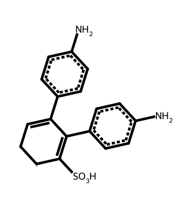 Nc1ccc(C2=CC[CH]C(S(=O)(=O)O)=C2c2ccc(N)cc2)cc1